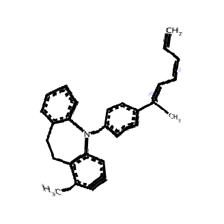 C=C/C=C\C=C(/C)c1ccc(N2c3ccccc3CCc3c(C)c#ccc32)cc1